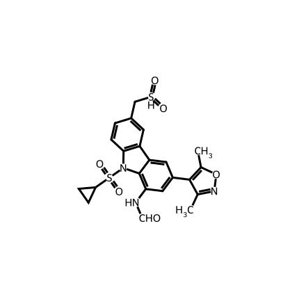 Cc1noc(C)c1-c1cc(NC=O)c2c(c1)c1cc(C[SH](=O)=O)ccc1n2S(=O)(=O)C1CC1